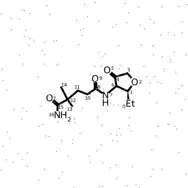 CC[C@@H]1OCC(=O)C1NC(=O)[CH]CC(C)(C)C(N)=O